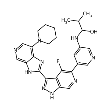 CC(C)C(O)Nc1cncc(-c2ncc3[nH]nc(-c4nc5c(N6CCCCC6)cncc5[nH]4)c3c2F)c1